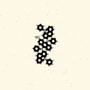 CC(C)(C)c1ccc2c(N(c3ccccc3)c3ccc4c5c3ccc3cccc(c35)n4-c3ccccc3)c3ccccc3c(N(c3ccccc3)c3ccc4c5c3ccc3cccc(c35)n4-c3ccccc3)c2c1